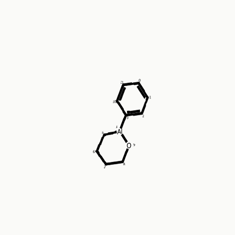 c1cc[c]([Al]2[CH2]CCC[O]2)cc1